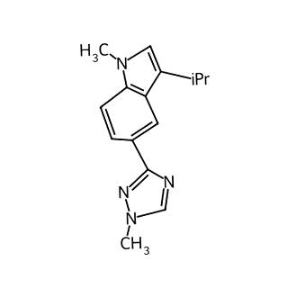 CC(C)c1cn(C)c2ccc(-c3ncn(C)n3)cc12